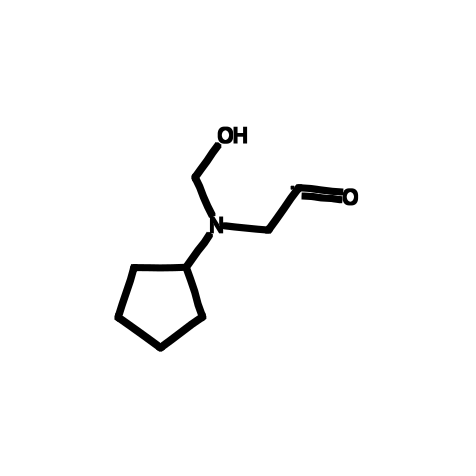 O=[C]CN(CO)C1CCCC1